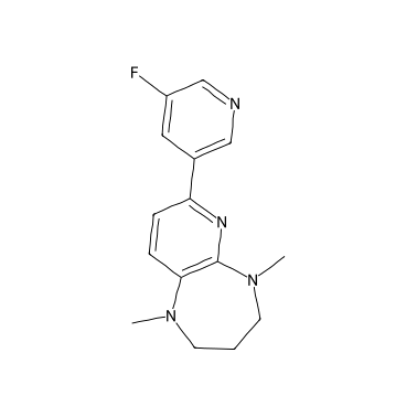 CN1CCCN(C)c2nc(-c3cncc(F)c3)ccc21